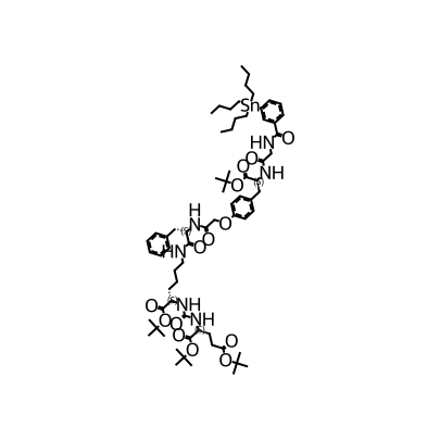 CCC[CH2][Sn]([CH2]CCC)([CH2]CCC)[c]1cccc(C(=O)NCC(=O)N[C@@H](Cc2ccc(OCC(=O)N[C@@H](Cc3ccccc3)C(=O)NCCCC[C@H](NC(=O)N[C@@H](CCC(=O)OC(C)(C)C)C(=O)OC(C)(C)C)C(=O)OC(C)(C)C)cc2)C(=O)OC(C)(C)C)c1